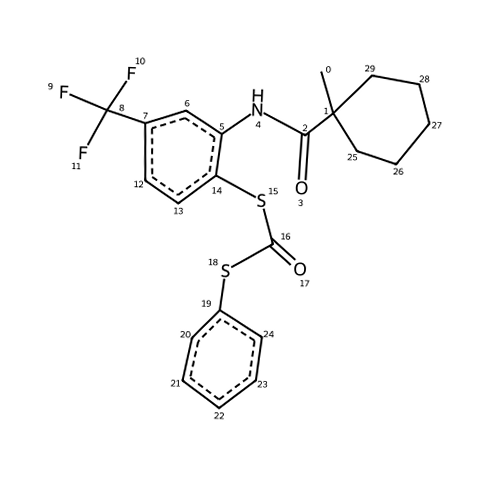 CC1(C(=O)Nc2cc(C(F)(F)F)ccc2SC(=O)Sc2ccccc2)CCCCC1